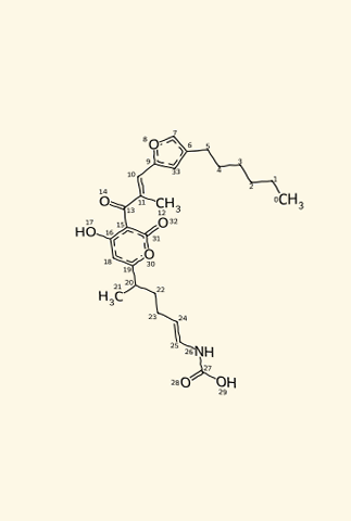 CCCCCCc1coc(/C=C(\C)C(=O)c2c(O)cc(C(C)CCC=CNC(=O)O)oc2=O)c1